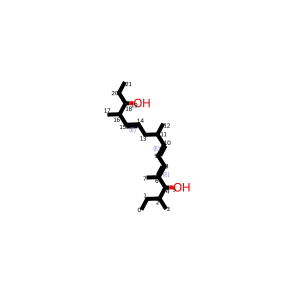 CCC(C)C(O)/C(C)=C/C=C/C(C)C/C=C/C(C)C(O)CC